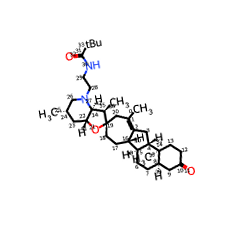 CC1=C2C[C@H]3[C@@H](CC[C@@H]4CC(=O)CC[C@@]43C)[C@@H]2CC[C@@]2(C1)O[C@@H]1C[C@H](C)CN(CCNC(=O)C(C)(C)C)[C@H]1[C@H]2C